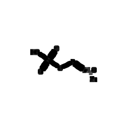 O.O=S(=O)(O)OP=S.[Zn]